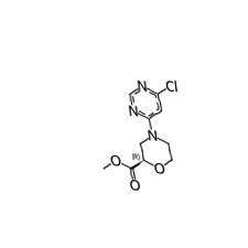 COC(=O)[C@H]1CN(c2cc(Cl)ncn2)CCO1